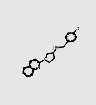 Clc1ccc(CNC2CCN(c3ccc4ccccc4n3)C2)cc1